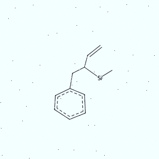 C=CC(Cc1ccccc1)[Si]C